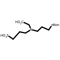 CCCCCCCCCCCCN(CCCS(=O)(=O)O)CC(=O)O